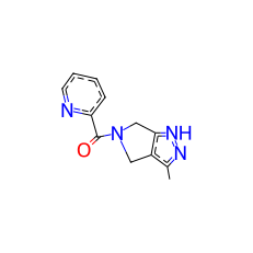 Cc1n[nH]c2c1CN(C(=O)c1ccccn1)C2